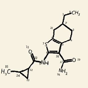 CCC1CCc2c(sc(NC(=O)C3CC3C)c2C(N)=O)C1